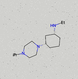 CCN[C@@H]1CCC[C@H](N2CCN(C(C)C)CC2)C1